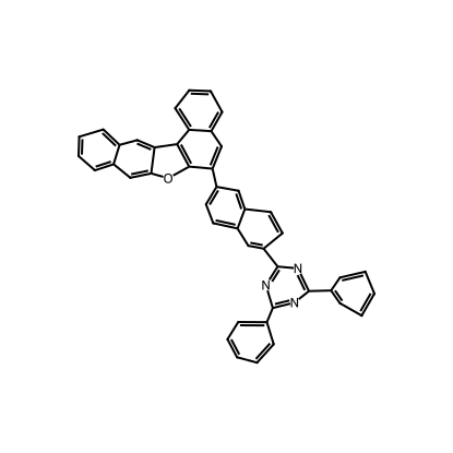 c1ccc(-c2nc(-c3ccccc3)nc(-c3ccc4cc(-c5cc6ccccc6c6c5oc5cc7ccccc7cc56)ccc4c3)n2)cc1